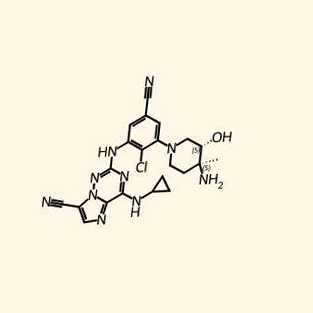 C[C@]1(N)CCN(c2cc(C#N)cc(Nc3nc(NC4CC4)c4ncc(C#N)n4n3)c2Cl)C[C@@H]1O